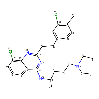 CCN(CC)CCCC(C)Nc1nc(CCc2ccc(C)c(Cl)c2)nc2c(Cl)cccc12